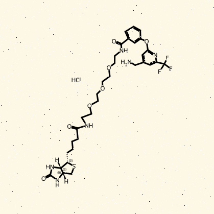 Cl.NCc1cc(Oc2cccc(C(=O)NCCOCCOCCOCCNC(=O)CCCC[C@@H]3SC[C@@H]4NC(=O)N[C@@H]43)c2)nc(C(F)(F)F)c1